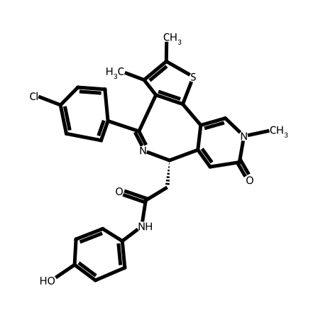 Cc1sc2c(c1C)C(c1ccc(Cl)cc1)=N[C@@H](CC(=O)Nc1ccc(O)cc1)c1cc(=O)n(C)cc1-2